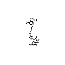 COc1c(F)cc(C(C)C)cc1[C@@H](C(=O)O)N1CC[C@@H](OCCCCCc2cc(N(C)C)c3c(n2)NCCC3)C1